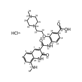 CNc1cccc2cc(C(=O)Nc3ccc(C(=O)O)cc3OCCN3CCN(C)CC3)c(=O)[nH]c12.Cl